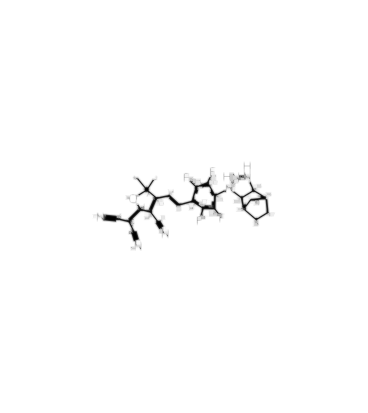 CC1(C)OC(=C(C#N)C#N)C(C#N)=C1/C=C/c1c(F)c(F)c(N2NNC3C4CCC(C4)C32)c(F)c1F